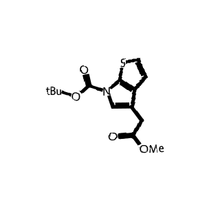 COC(=O)Cc1cn(C(=O)OC(C)(C)C)c2sccc12